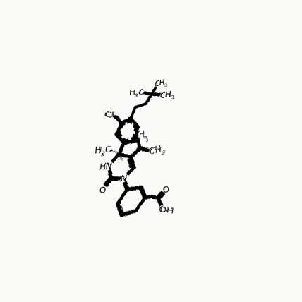 CC(C)C1=CN(C2CCCC(C(=O)O)C2)C(=O)N[C@@]1(C)c1ccc(CCC(C)(C)C)c(Cl)c1